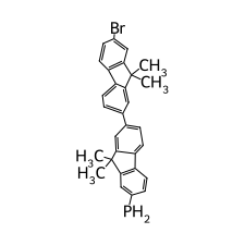 CC1(C)c2cc(P)ccc2-c2ccc(-c3ccc4c(c3)C(C)(C)c3cc(Br)ccc3-4)cc21